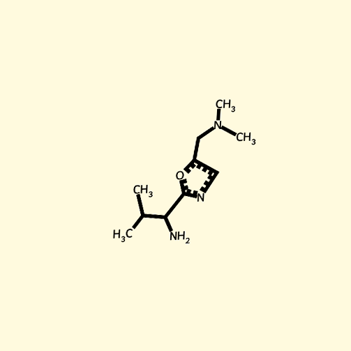 CC(C)C(N)c1ncc(CN(C)C)o1